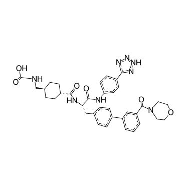 O=C(O)NC[C@H]1CC[C@H](C(=O)N[C@@H](Cc2ccc(-c3cccc(C(=O)N4CCOCC4)c3)cc2)C(=O)Nc2ccc(-c3nn[nH]n3)cc2)CC1